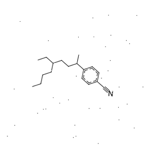 CCCCC(CC)CCC(C)c1ccc(C#N)cc1